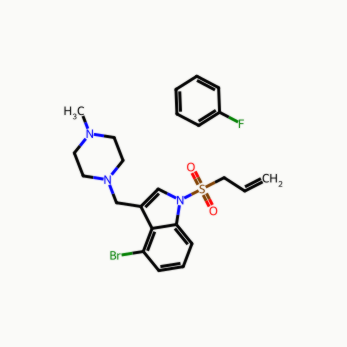 C=CCS(=O)(=O)n1cc(CN2CCN(C)CC2)c2c(Br)cccc21.Fc1ccccc1